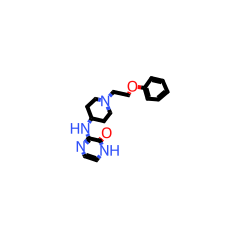 O=c1[nH]ccnc1NC1CCN(CCOc2ccccc2)CC1